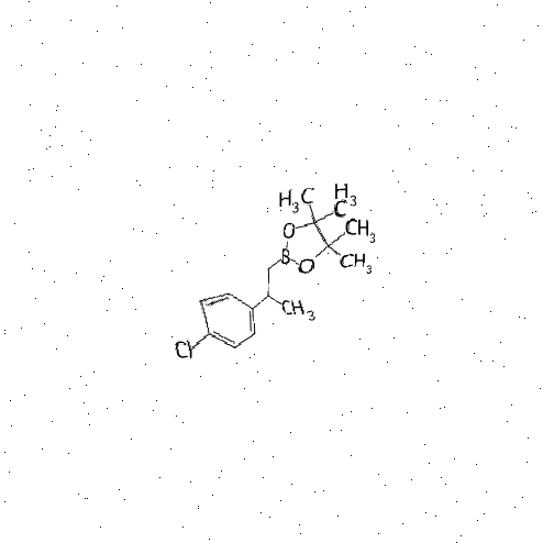 CC(CB1OC(C)(C)C(C)(C)O1)c1ccc(Cl)cc1